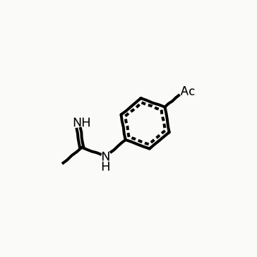 CC(=N)Nc1ccc(C(C)=O)cc1